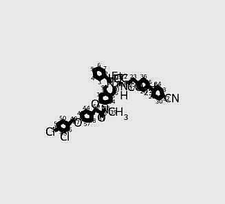 CC[C@@H](c1ccccc1)N1Cc2cc3c(cc2C[C@H]1C(=O)N[C@@](C)(Cc1ccc(-c2ccc(C#N)cc2)cc1)C(=O)O)N(C)C(=O)C(c1ccc(OCc2ccc(Cl)c(Cl)c2)cc1)O3